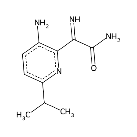 CC(C)c1ccc(N)c(C(=N)C(N)=O)n1